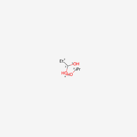 CC(C)O.CCC(O)O